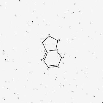 [CH]1CC2=CC=CCC2C1